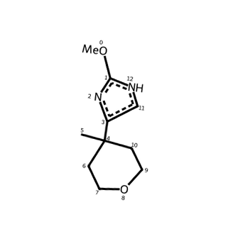 COc1nc(C2(C)CCOCC2)c[nH]1